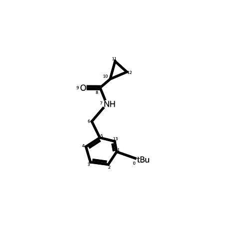 CC(C)(C)c1cccc(CNC(=O)C2CC2)c1